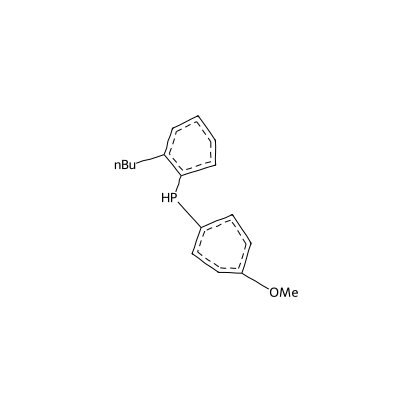 CCCCc1ccccc1Pc1ccc(OC)cc1